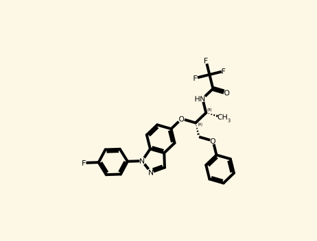 C[C@@H](NC(=O)C(F)(F)F)[C@H](COc1ccccc1)Oc1ccc2c(cnn2-c2ccc(F)cc2)c1